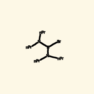 CCCN(CCC)B(Br)N(CCC)CCC